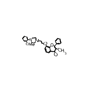 COc1ccccc1N1CCN(CCOc2cccc3c(=O)c(C)c(-c4ccccc4)oc23)CC1